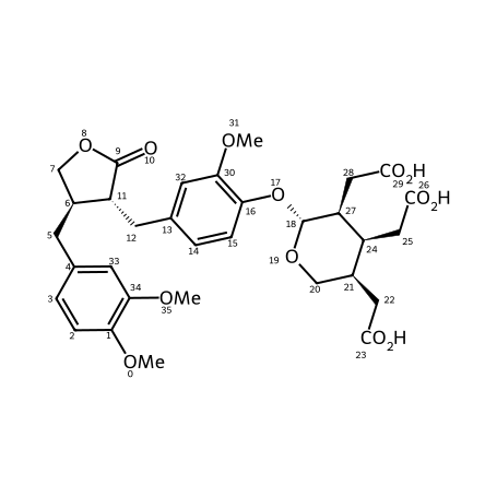 COc1ccc(C[C@H]2COC(=O)[C@@H]2Cc2ccc(O[C@H]3OC[C@H](CC(=O)O)[C@H](CC(=O)O)[C@@H]3CC(=O)O)c(OC)c2)cc1OC